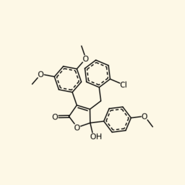 COc1ccc(C2(O)OC(=O)C(c3cc(OC)cc(OC)c3)=C2Cc2ccccc2Cl)cc1